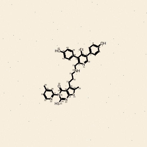 CCc1c(-c2ccc(O)cc2)cnc(CNCCCc2c(C)sc3nc(S)n(-c4cc(C)ccn4)c(=O)c23)c1-c1ccc(O)cc1